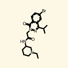 CCN1CCCC(NC(=O)Cn2nc(C(C)C)c3cc(Br)ccc3c2=O)C1